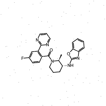 C[C@H]1[C@H](Nc2nc3ccccc3o2)CCCN1C(=O)c1ccc(F)cc1-c1ncccn1